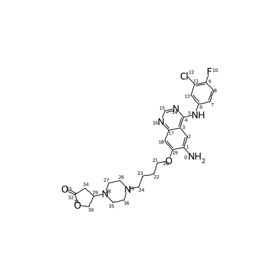 Nc1cc2c(Nc3ccc(F)c(Cl)c3)ncnc2cc1OCCCCN1CCN(C2COC(=O)C2)CC1